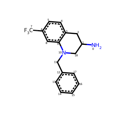 NC1Cc2ccc(C(F)(F)F)cc2N(Cc2ccccc2)C1